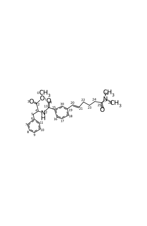 COC(=O)C(Cc1ccccc1)NC(=O)c1cccc(C=CCCCC(=O)N(C)C)c1